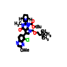 COc1cnc2ccc(-c3cn(COCC[Si](C)(C)C)c4nc(N5[C@H]6CC[C@@H]5[C@H](NC(=O)OC(C)(C)C)C6)n(C)c(=O)c34)c(Cl)c2n1